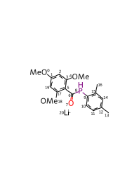 COc1cc(OC)c(C(=O)Pc2ccc(C)cc2C)c(OC)c1.[Li]